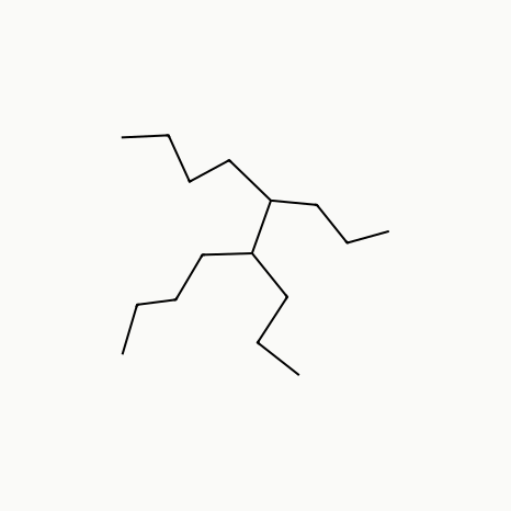 CCCCC(CCC)C(CCC)CCCC